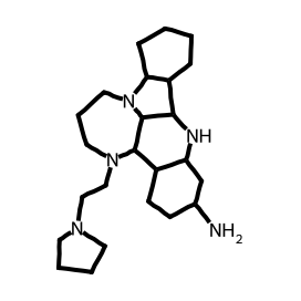 NC1CCC2C(C1)NC1C3CCCCC3N3CCCN(CCN4CCCC4)C2C13